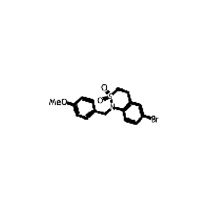 COc1ccc(CN2c3ccc(Br)cc3CCS2(=O)=O)cc1